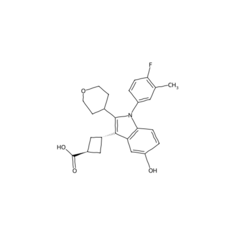 Cc1cc(-n2c(C3CCOCC3)c([C@H]3C[C@H](C(=O)O)C3)c3cc(O)ccc32)ccc1F